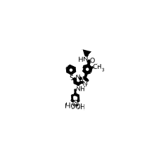 Cc1cc(-c2cnc3c(NCC4CCS(O)(O)CC4)cc(Sc4ccccc4)nn23)ccc1C(=O)NC1CC1